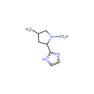 CC1CC(c2ncc[nH]2)N(C(=O)O)C1